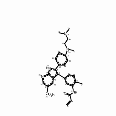 C=CC(=O)Nc1cc(-c2c(-c3ccc(N(C)CCN(C)C)cc3)[nH]c3ncc(C(=O)O)cc23)ccc1C